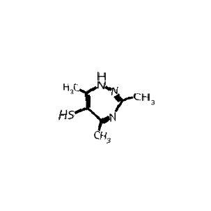 CC1=NNC(C)=C(S)C(C)=N1